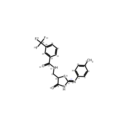 Cc1ccc(/N=C2/NC(=O)C(CNC(=O)c3cccc(C(F)(F)F)c3)S2)cc1